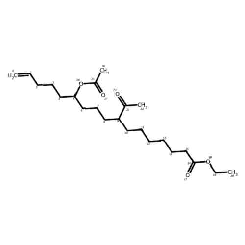 C=CCCCC(CCCC(CCCCCCC(=O)OCC)C(C)=O)OC(C)=O